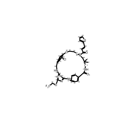 CC1(C)CNC(=O)c2ccc(cc2)Nc2nc(nc(OCC(F)(F)F)n2)NCc2ccc(c(Cl)c2)OCCCN(C(=O)/C=C/c2ccco2)C1